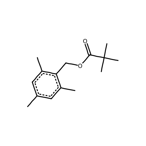 Cc1cc(C)c(COC(=O)C(C)(C)C)c(C)c1